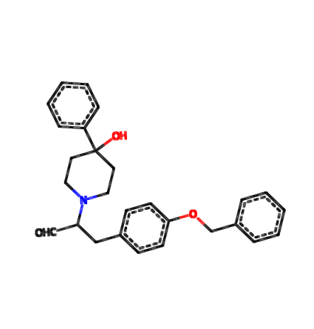 O=CC(Cc1ccc(OCc2ccccc2)cc1)N1CCC(O)(c2ccccc2)CC1